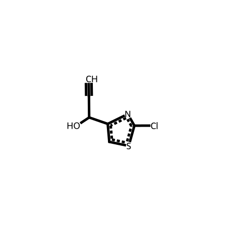 C#CC(O)c1csc(Cl)n1